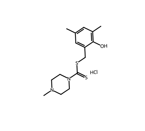 Cc1cc(C)c(O)c(CSC(=S)N2CCN(C)CC2)c1.Cl